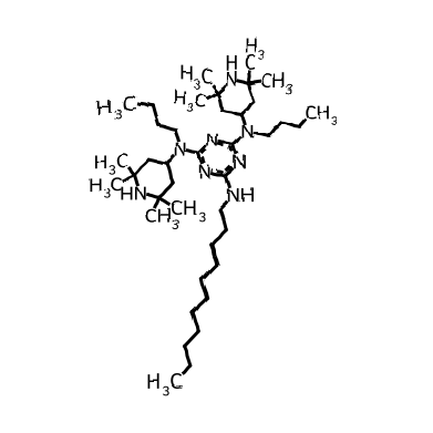 CCCCCCCCCCCNc1nc(N(CCCC)C2CC(C)(C)NC(C)(C)C2)nc(N(CCCC)C2CC(C)(C)NC(C)(C)C2)n1